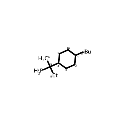 CCC(C)C1CCC(C(C)(P)CC)CC1